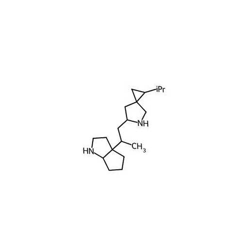 CC(C)C1CC12CNC(CC(C)C13CCCC1NCC3)C2